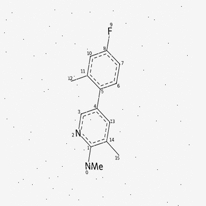 CNc1ncc(-c2ccc(F)cc2C)cc1C